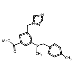 COC(=O)c1cc(Cn2cncn2)cc(N(C)Cc2ccc(C)cc2)c1